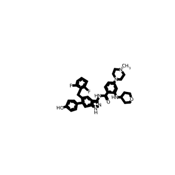 CN1CCN(c2ccc(C(=O)Nc3n[nH]c4cc(-c5ccc(O)cc5)c(Cc5c(F)cccc5F)cc34)c(NC3CCOCC3)c2)CC1